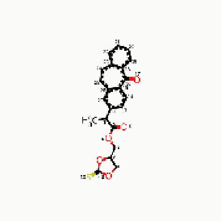 CC(C(=O)OC[C@H]1COC(=S)O1)c1ccc2c(=O)c3ccccc3ccc2c1